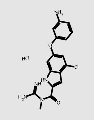 CN(C(=N)N)C(=O)c1cc2c(Cl)cc(Oc3cccc(N)c3)cc2[nH]1.Cl